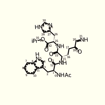 CC(=O)N[C@@H](Cc1c[nH]c2ccccc12)C(=O)N[C@@H](CCC(=O)C=N)C(=O)N[C@@H](Cc1c[nH]cn1)C(=O)OC(C)C